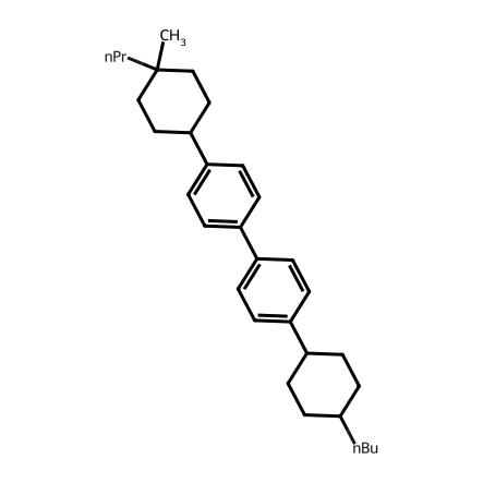 CCCCC1CCC(c2ccc(-c3ccc(C4CCC(C)(CCC)CC4)cc3)cc2)CC1